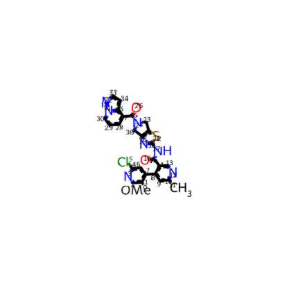 COc1cnc(Cl)cc1-c1cc(C)ncc1C(=O)Nc1nc2c(s1)CN(C(=O)c1cccn3nccc13)C2